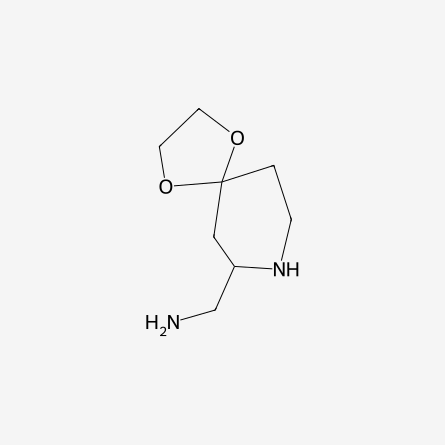 NCC1CC2(CCN1)OCCO2